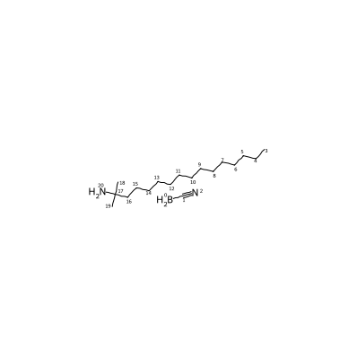 BC#N.CCCCCCCCCCCCCCC(C)(C)N